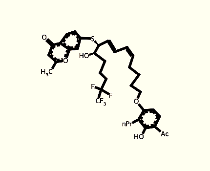 CCCc1c(OCCCC/C=C\C=C\[C@H](Sc2ccc3c(=O)cc(C)oc3c2)[C@H](O)CCCC(F)(F)C(F)(F)F)ccc(C(C)=O)c1O